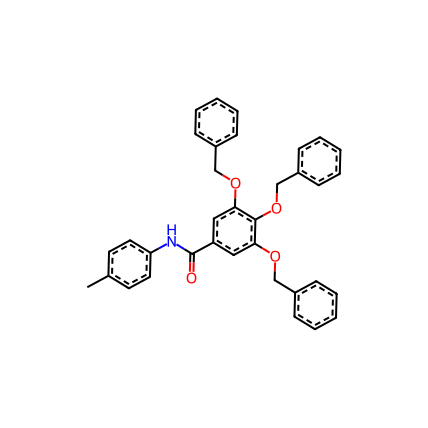 Cc1ccc(NC(=O)c2cc(OCc3ccccc3)c(OCc3ccccc3)c(OCc3ccccc3)c2)cc1